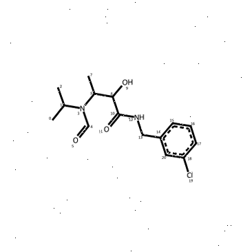 CC(C)N(C=O)C(C)C(O)C(=O)NCc1cccc(Cl)c1